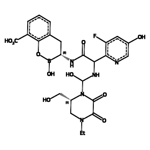 CCN1C[C@H](CO)N(C(O)NC(C(=O)N[C@H]2Cc3cccc(C(=O)O)c3OB2O)c2ncc(O)cc2F)C(=O)C1=O